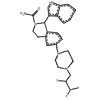 NC(=O)N1CCc2cc(N3CCN(CC(F)C(F)F)CC3)ccc2C1c1c[nH]c2ccccc12